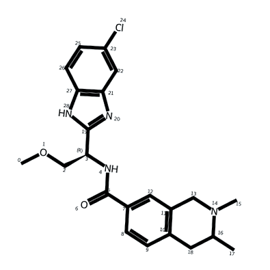 COC[C@H](NC(=O)c1ccc2c(c1)CN(C)C(C)C2)c1nc2cc(Cl)ccc2[nH]1